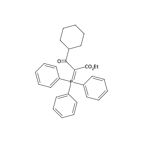 CCOC(=O)C(C(=O)C1CCCCC1)=P(c1ccccc1)(c1ccccc1)c1ccccc1